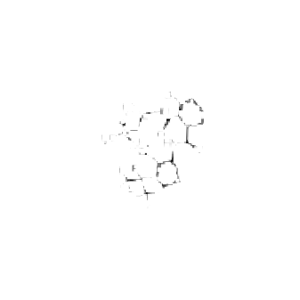 Cc1c(NC(=O)c2cccc(Cl)c2C(=O)N[C@@H](C)CS(C)(=O)=O)cccc1C(F)(C(F)(F)F)C(F)(F)F